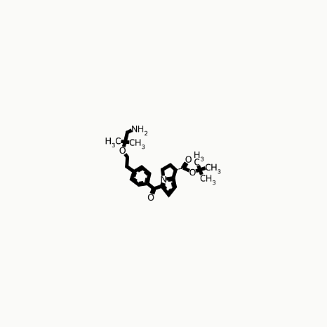 CC(C)(C)OC(=O)[C@H]1CCn2c(C(=O)c3ccc(CCOC(C)(C)CN)cc3)ccc21